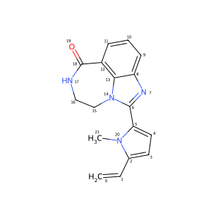 C=Cc1ccc(-c2nc3cccc4c3n2CCNC4=O)n1C